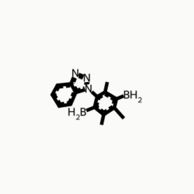 Bc1c(C)c(C)c(B)c(-n2nnc3ccccc32)c1C